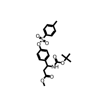 COC(=O)CC(NC(=O)OC(C)(C)C)c1ccc(OS(=O)(=O)c2ccc(C)cc2)cc1